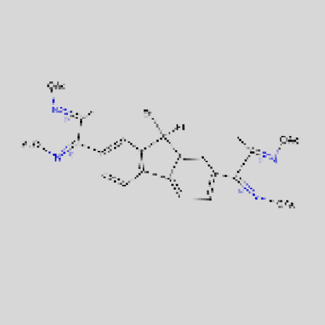 CCC1(CC)c2cc(C(=N/OC(C)=O)/C(C)=N/OC(C)=O)ccc2-c2ccc(C(=N/OC(C)=O)/C(C)=N/OC(C)=O)cc21